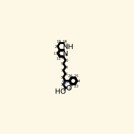 O=C(O)/C=C(/CCCCCCc1ccc2c(n1)NCCC2)c1ccccc1